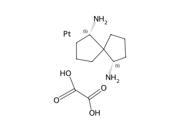 N[C@H]1CCCC12CCC[C@@H]2N.O=C(O)C(=O)O.[Pt]